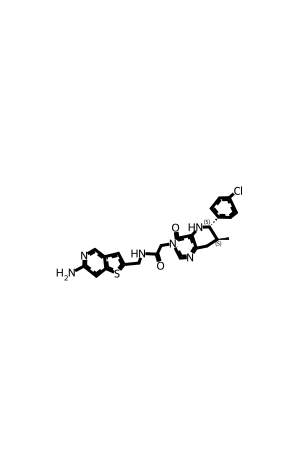 C[C@H]1Cc2ncn(CC(=O)NCc3cc4cnc(N)cc4s3)c(=O)c2N[C@@H]1c1ccc(Cl)cc1